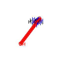 CC(=O)NCSC[C@H](NC(=O)CNC(=O)[C@H](CSSC(C)C)NC(=O)CNC(=O)[C@H](CN)N1C(=O)C=CC1=O)C(=O)NCC(=O)NCCOCCOCCOCCOCCOCCOCCOCCOCCOCCOCCOCCOCCOCCOCCOCCOCCOCCOCCOCCOCCOCCOCCOCCOCCC(=O)O